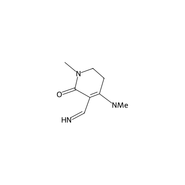 CNC1=C(C=N)C(=O)N(C)CC1